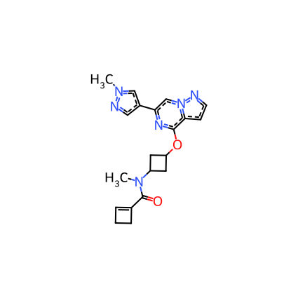 CN(C(=O)C1=CCC1)C1CC(Oc2nc(-c3cnn(C)c3)cn3nccc23)C1